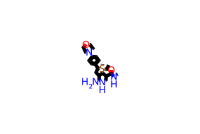 CCS1(C)C(c2ccc(N3CCOCC3)cc2)CC2C(N)NCC(C(=O)NC)C21